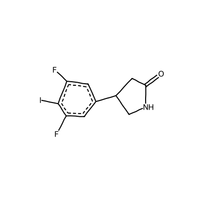 O=C1CC(c2cc(F)c(I)c(F)c2)CN1